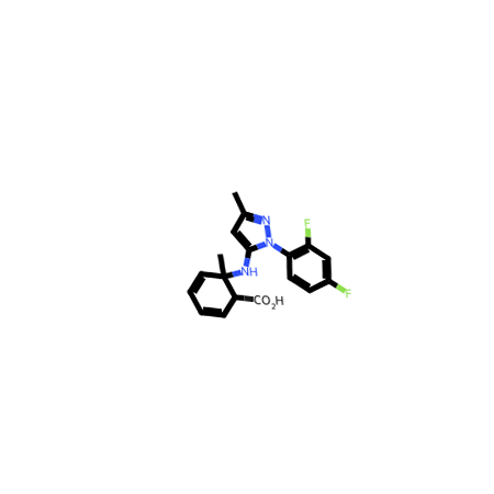 Cc1cc(NC2(C)C=CC=CC2C(=O)O)n(-c2ccc(F)cc2F)n1